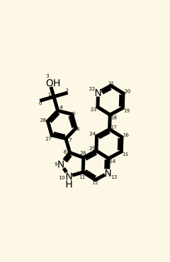 CC(C)(O)c1ccc(-c2n[nH]c3cnc4ccc(C5C=CC=NC5)cc4c23)cc1